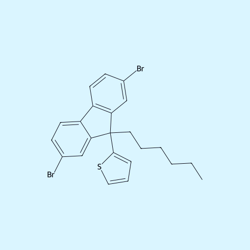 CCCCCCC1(c2cccs2)c2cc(Br)ccc2-c2ccc(Br)cc21